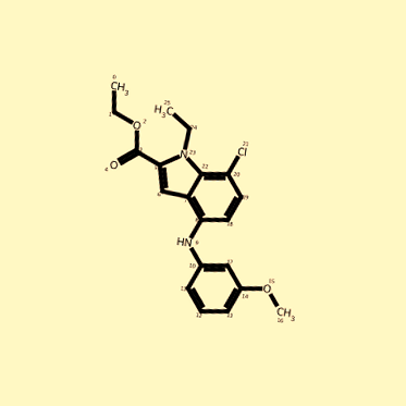 CCOC(=O)c1cc2c(Nc3cccc(OC)c3)ccc(Cl)c2n1CC